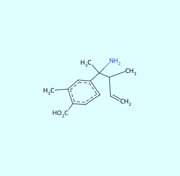 C=CC(C)C(C)(N)c1ccc(C(=O)O)c(C)c1